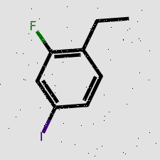 CCc1ccc(I)cc1F